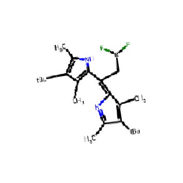 CC1=NC(=C(CB(F)F)c2[nH]c(C)c(C(C)(C)C)c2C)C(C)=C1C(C)(C)C